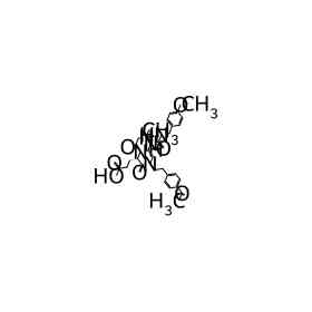 COc1ccc(CCN2C[C@H]3N(C(=O)CN(C)N3C(=O)NCc3ccc(OC)cc3)[C@@H](CCC(=O)O)C2=O)cc1